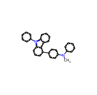 CN(c1ccccc1)c1ccc(-c2cccc3c2c2ccccc2n3-c2ccccc2)cc1